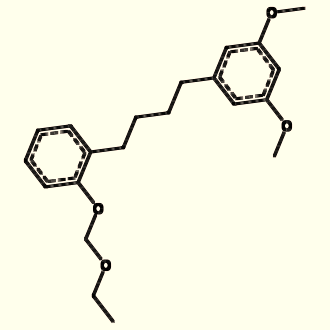 CCOCOc1ccccc1CCCCc1cc(OC)cc(OC)c1